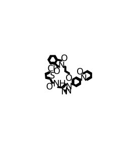 O=C(NCc1cn(-c2ccc(-n3ccccc3=O)cc2OCCCN2C(=O)c3ccccc3C2=O)nn1)c1ccc(Cl)s1